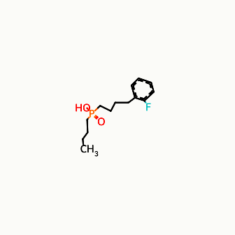 CCCCP(=O)(O)CCCCc1ccccc1F